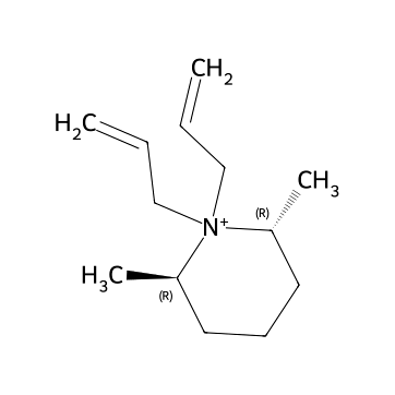 C=CC[N+]1(CC=C)[C@H](C)CCC[C@H]1C